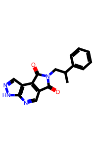 CC(CN1C(=O)c2cnc3[nH]ncc3c2C1=O)c1ccccc1